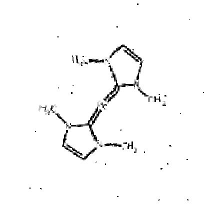 Cn1ccn(C)[c]1=[Pd]=[c]1n(C)ccn1C